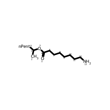 CCCCCC(C)OC(=O)CCCCCCCN